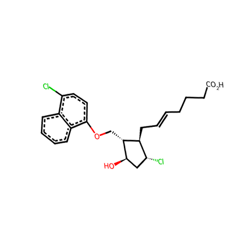 O=C(O)CCCC=CC[C@@H]1[C@@H](COc2ccc(Cl)c3ccccc23)[C@H](O)C[C@H]1Cl